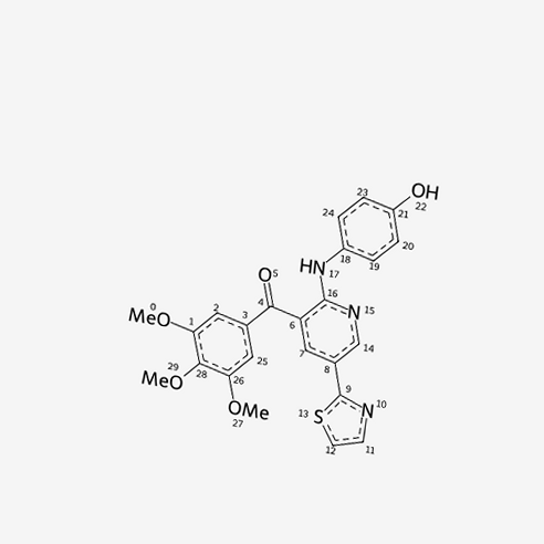 COc1cc(C(=O)c2cc(-c3nccs3)cnc2Nc2ccc(O)cc2)cc(OC)c1OC